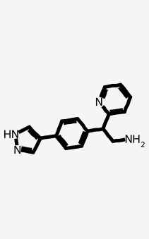 NCC(c1ccc(-c2cn[nH]c2)cc1)c1ccccn1